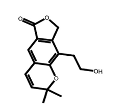 CC1(C)C=Cc2cc3c(c(CCO)c2O1)COC3=O